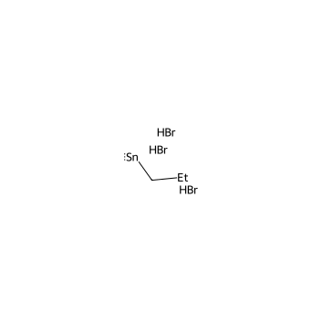 Br.Br.Br.CC[CH2][Sn]